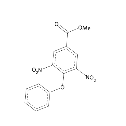 COC(=O)c1cc([N+](=O)[O-])c(Oc2ccccc2)c([N+](=O)[O-])c1